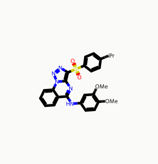 COc1ccc(Nc2nc3c(S(=O)(=O)c4ccc(C(C)C)cc4)nnn3c3ccccc23)cc1OC